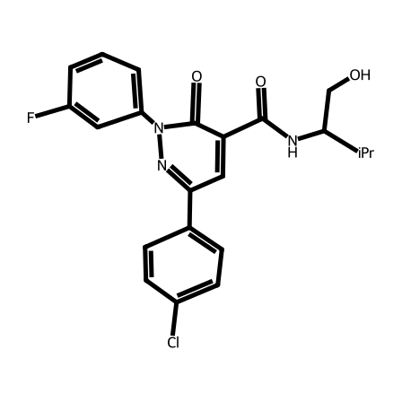 CC(C)C(CO)NC(=O)c1cc(-c2ccc(Cl)cc2)nn(-c2cccc(F)c2)c1=O